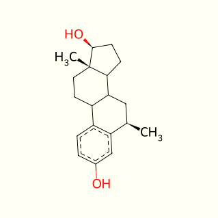 C[C@@H]1CC2C(CC[C@@]3(C)C2CC[C@@H]3O)c2ccc(O)cc21